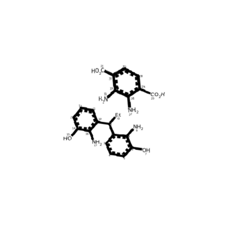 CCC(c1cccc(O)c1N)c1cccc(O)c1N.Nc1c(C(=O)O)ccc(C(=O)O)c1N